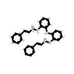 C(=Cc1ccccc1)[SiH2]Oc1ccccc1Oc1ccccc1O[SiH2]C=Cc1ccccc1